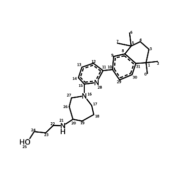 CC1(C)CCC(C)(C)c2cc(-c3cccc(N4CCCC(NCCCO)CC4)n3)ccc21